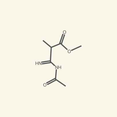 COC(=O)C(C)C(=N)NC(C)=O